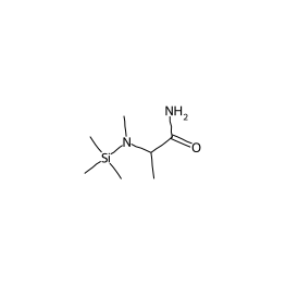 CC(C(N)=O)N(C)[Si](C)(C)C